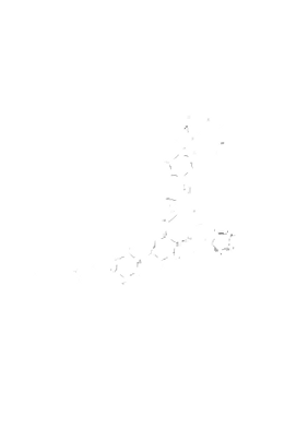 CCCCOCCOc1ccc(-c2ccc3c(c2)C=C(C(=O)Nc2ccc(CN(C)C4CCOCC4)cc2)CCN3Cc2nnn[nH]2)cc1